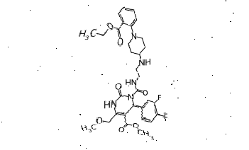 CCOC(=O)c1ccccc1N1CCC(NCCNC(=O)N2C(=O)NC(COC)=C(C(=O)OC)C2c2ccc(F)c(F)c2)CC1